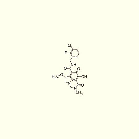 COC1CN2CN(C)C(=O)c3c(O)c(=O)c(C(=O)NCc4cccc(Cl)c4F)c1n32